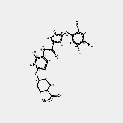 COC(=O)[C@H]1CC[C@@H](Oc2ccc(NC(=O)c3nnc(Nc4cc(F)c(F)cc4F)o3)c(F)n2)CC1